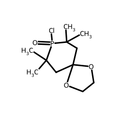 CC1(C)CC2(CC(C)(C)P1(=O)Cl)OCCO2